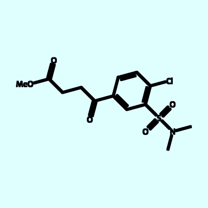 COC(=O)CCC(=O)c1ccc(Cl)c(S(=O)(=O)N(C)C)c1